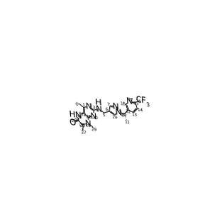 Cc1nc(NCc2cnn([C@@H](C)c3ccc(C(F)(F)F)nc3)c2)nc2c1NC(=O)[C@H](C)N2C